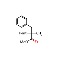 CCCC(C)C(C)(Cc1ccccc1)C(=O)OC